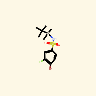 CC(C)(C)[Si](C)(C)NS(=O)(=O)c1ccc(Br)c(F)c1